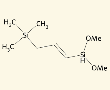 CO[SiH](C=CC[Si](C)(C)C)OC